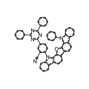 N#Cc1cc(-c2nc(-c3ccccc3)nc(-c3ccccc3)n2)ccc1-n1c2ccccc2c2ccc3c4ccc5c6ccccc6n(-c6ccccc6)c5c4oc3c21